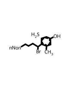 CCCCCCCCCCCCC(Br)c1ccc(O)cc1C.S